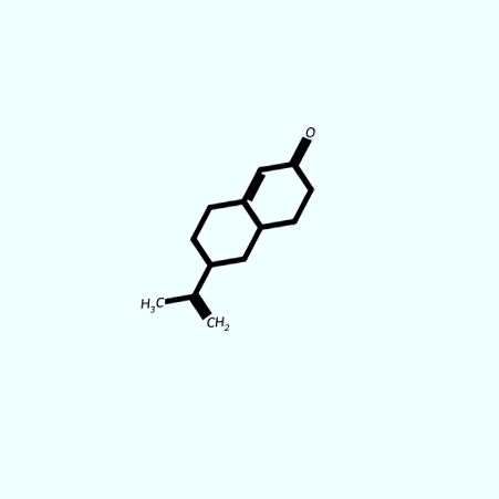 C=C(C)C1CCC2=CC(=O)CCC2C1